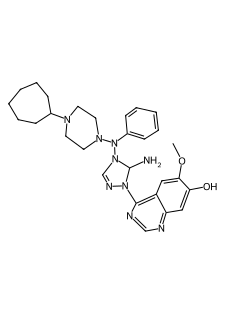 COc1cc2c(N3N=CN(N(c4ccccc4)N4CCN(C5CCCCCC5)CC4)C3N)ncnc2cc1O